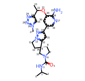 CC(C)NC(=O)N1CC[C@@]2(CCn3nc(-c4cnc(N)c(OC(C)c5cn(C)nn5)c4)cc32)C1